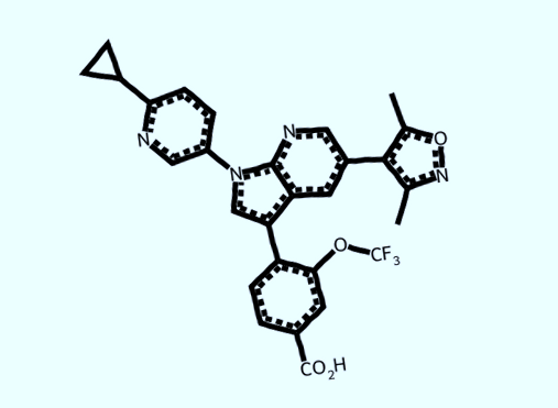 Cc1noc(C)c1-c1cnc2c(c1)c(-c1ccc(C(=O)O)cc1OC(F)(F)F)cn2-c1ccc(C2CC2)nc1